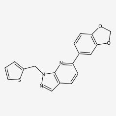 c1csc(Cn2ncc3ccc(-c4ccc5c(c4)OCO5)nc32)c1